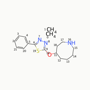 C.C.c1ccc(-c2nnc(OC3CCCCNCC3)s2)cc1